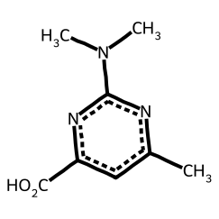 Cc1cc(C(=O)O)nc(N(C)C)n1